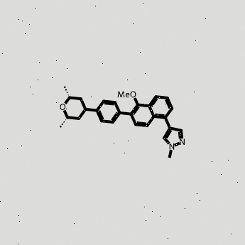 COc1c(-c2ccc(C3C[C@@H](C)O[C@@H](C)C3)cc2)ccc2c(-c3cnn(C)c3)cccc12